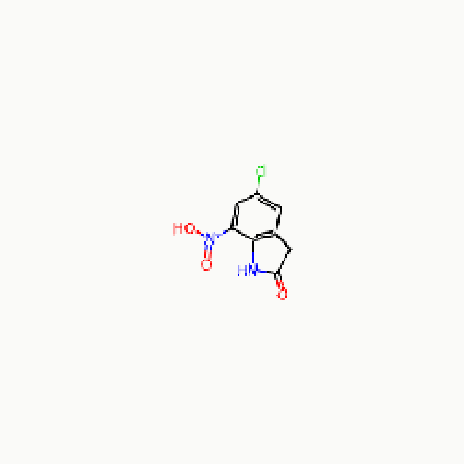 O=C1Cc2cc(Cl)cc([N+](=O)O)c2N1